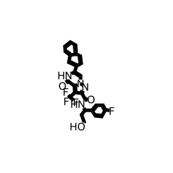 O=C(NC(CCO)c1ccc(F)cc1)c1nn2cc(-c3ccc4ccccc4c3)[nH]c(=O)c2c1C(F)(F)F